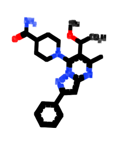 Cc1nc2cc(-c3ccccc3)nn2c(N2CCC(C(N)=O)CC2)c1C(OC(C)(C)C)C(=O)O